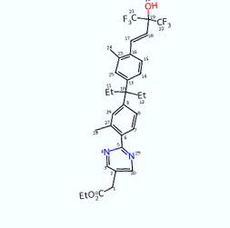 CCOC(=O)Cc1cnc(-c2ccc(C(CC)(CC)c3ccc(C=CC(O)(C(F)(F)F)C(F)(F)F)c(C)c3)cc2C)nc1